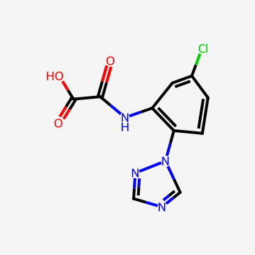 O=C(O)C(=O)Nc1cc(Cl)ccc1-n1cncn1